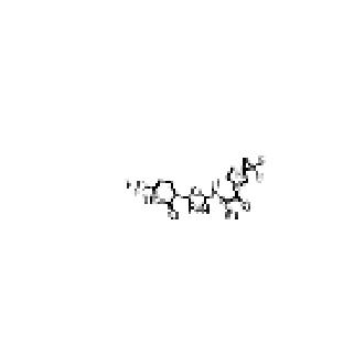 CC(C)[C@H](Nc1nnc(-c2ccc(C(F)(F)F)[nH]c2=O)o1)C(=O)N1CC[C@]2(C1)CC2(F)F